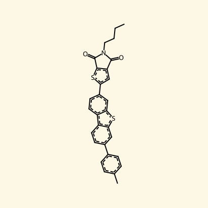 CCCCN1C(=O)c2cc(-c3ccc4c(c3)sc3cc(-c5ccc(C)cc5)ccc34)sc2C1=O